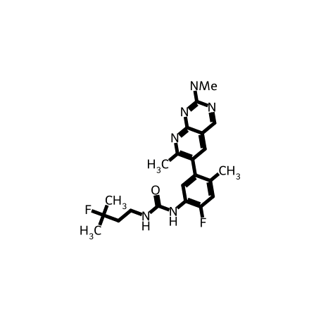 CNc1ncc2cc(-c3cc(NC(=O)NCCC(C)(C)F)c(F)cc3C)c(C)nc2n1